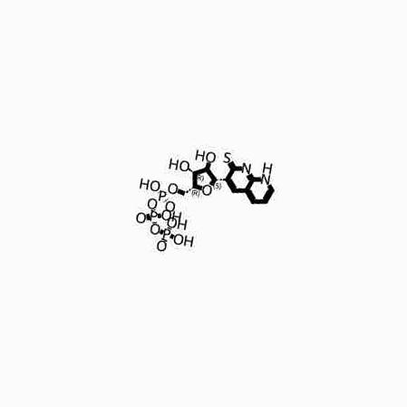 O=P(O)(O)OP(=O)(O)OP(=O)(O)OC[C@H]1O[C@@H](c2cc3ccc[nH]c-3nc2=S)C(O)[C@H]1O